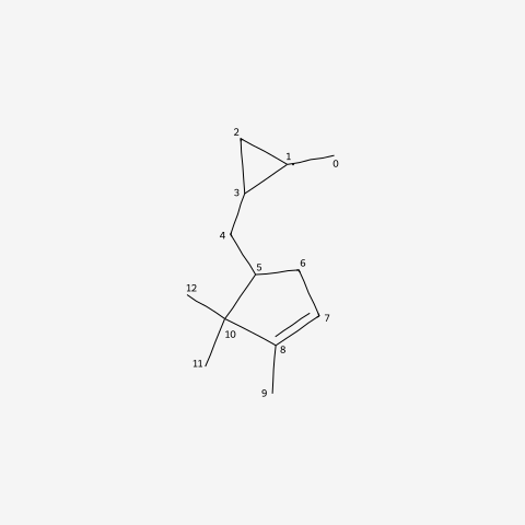 C[C]1CC1CC1CC=C(C)C1(C)C